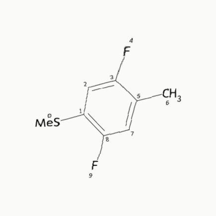 CSc1cc(F)c(C)cc1F